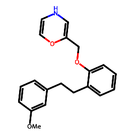 COc1cccc(CCc2ccccc2OCC2=CNC=CO2)c1